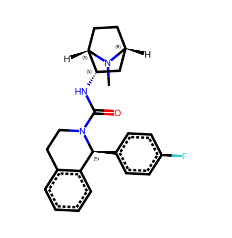 CN1[C@@H]2CC[C@H]1[C@@H](NC(=O)N1CCc3ccccc3[C@@H]1c1ccc(F)cc1)C2